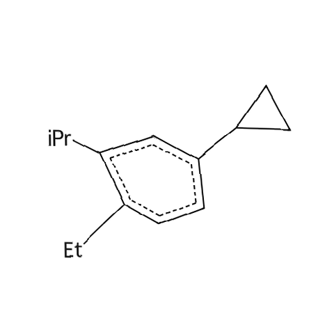 [CH2]C(C)c1cc(C2CC2)ccc1CC